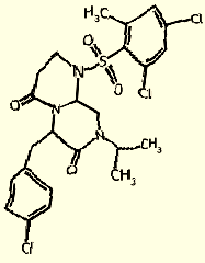 Cc1cc(Cl)cc(Cl)c1S(=O)(=O)N1CCC(=O)N2C(Cc3ccc(Cl)cc3)C(=O)N(C(C)C)CC21